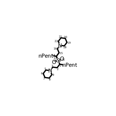 CCCCCC(CCN1CCCCC1)S(=O)(=O)C(CCCCC)CCN1CCCCC1